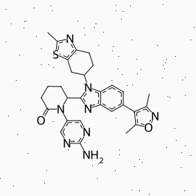 Cc1nc2c(s1)CC(n1c(C3CCCC(=O)N3c3cnc(N)nc3)nc3cc(-c4c(C)noc4C)ccc31)CC2